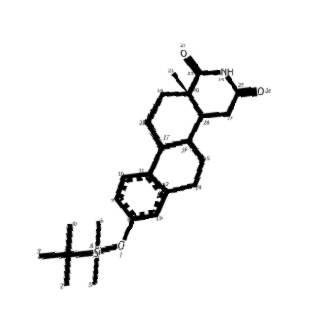 CC(C)(C)[Si](C)(C)Oc1ccc2c(c1)CCC1C2CC[C@]2(C)C(=O)NC(=O)CC12